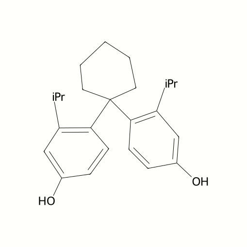 CC(C)c1cc(O)ccc1C1(c2ccc(O)cc2C(C)C)CCCCC1